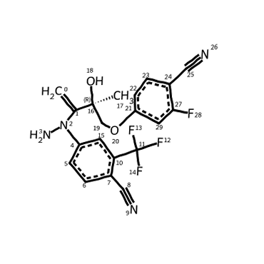 C=C(N(N)c1ccc(C#N)c(C(F)(F)F)c1)[C@@](C)(O)COc1ccc(C#N)c(F)c1